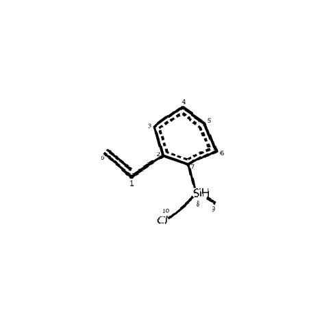 C=Cc1ccccc1[SiH](C)Cl